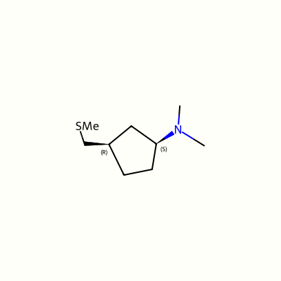 CSC[C@@H]1CC[C@H](N(C)C)C1